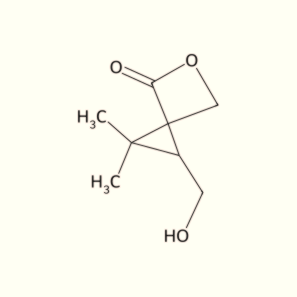 CC1(C)C(CO)C12COC2=O